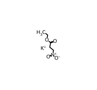 CCOC(=O)CC[N+](=O)[O-].[K+]